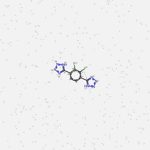 Fc1c(-c2nnn[nH]2)ccc(-c2nnn[nH]2)c1F